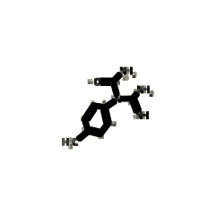 Cc1ccc(N(C(=N)N)C(N)=O)cc1